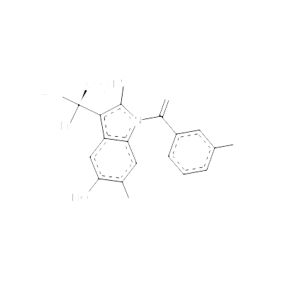 Cc1c([C@](C)(C(=O)O)C(C)C)c2cc(O)c(F)cc2n1C(=O)c1cccc(Cl)c1